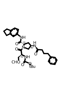 CC(C)(C)OC(=O)N[C@@H](CC=O)C(=O)N1C[C@H](NC(=O)CCCc2ccccc2)C[C@H]1C(=O)Nc1ccc2c(c1)CCC2